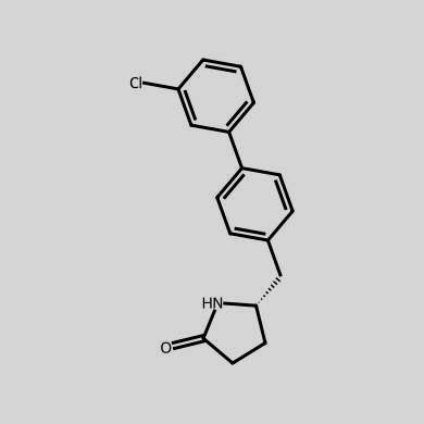 O=C1CC[C@@H](Cc2ccc(-c3cccc(Cl)c3)cc2)N1